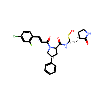 O=C(N[C@@H](C[C@@H]1CCNC1=O)SO)C1C[C@@H](c2ccccc2)CN1C(=O)/C=C/c1ccc(Cl)cc1F